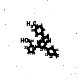 Cc1ccc(-c2cnn3c(-c4ccc(F)cc4)cc(N4CCC[C@H]4CO)nc23)cc1